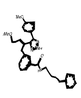 COCCC(Cc1cccc(C(=O)NCCCCc2ccccc2)c1)c1n[nH]nc1-c1ccc(OC)cc1